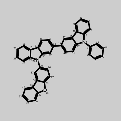 c1ccc(-n2c3ccccc3c3cc(-c4ccc5c6ccccc6n(-c6ccc7oc8ccccc8c7c6)c5c4)ccc32)cc1